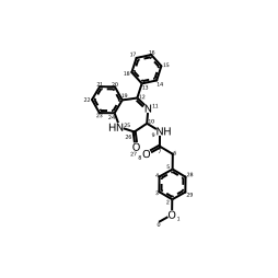 COc1ccc(CC(=O)NC2N=C(c3ccccc3)c3ccccc3NC2=O)cc1